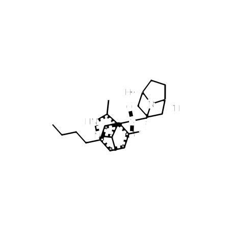 CCCCc1ccc(O[C@@H]2C[C@H]3CC[C@@H](C2)N3CS(=O)(=O)c2c(C)n[nH]c2C)cc1